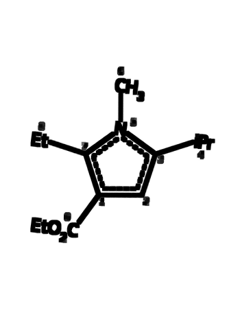 CCOC(=O)c1cc(C(C)C)n(C)c1CC